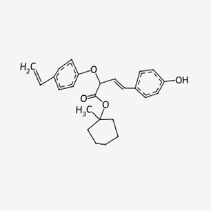 C=Cc1ccc(OC(C=Cc2ccc(O)cc2)C(=O)OC2(C)CCCCC2)cc1